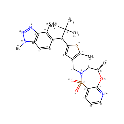 CC[C@@H]1CN(Cc2cc(C(c3ccc4c(nnn4CC)c3C)C(C)(C)C(=O)O)sc2C)S(=O)(=O)c2cccnc2O1